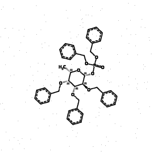 C[C@@H]1O[C@H](OP(=O)(OCc2ccccc2)OCc2ccccc2)[C@@H](OCc2ccccc2)[C@H](OCc2ccccc2)[C@@H]1OCc1ccccc1